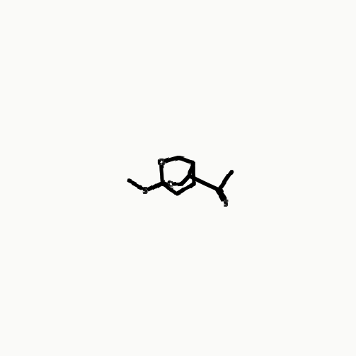 CSC12CCC(CO1)C(C(C)=S)CC2